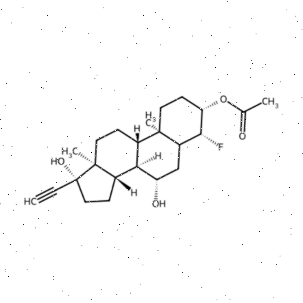 C#C[C@]1(O)CC[C@H]2[C@@H]3[C@@H](O)CC4[C@@H](F)[C@@H](OC(C)=O)CC[C@]4(C)[C@H]3CC[C@@]21C